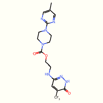 Cc1cnc(N2CCN(C(=O)OCCNc3cc(C(F)(F)F)c(=O)[nH]n3)CC2)nc1